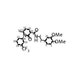 COc1ccc(CCNC(=O)c2ccc(C)n(-c3cccc(C(F)(F)F)c3)c2=O)cc1OC